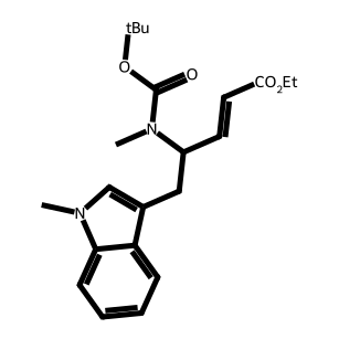 CCOC(=O)C=CC(Cc1cn(C)c2ccccc12)N(C)C(=O)OC(C)(C)C